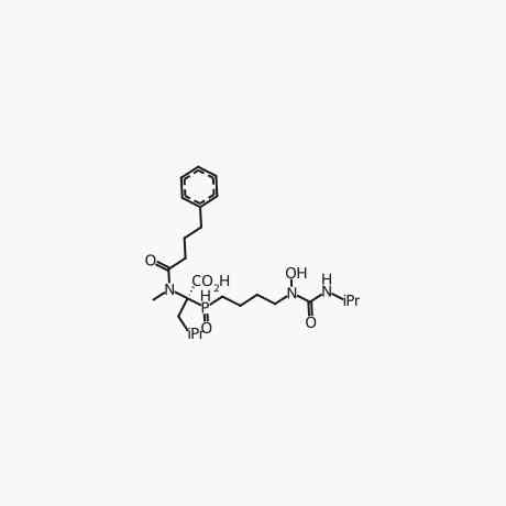 CC(C)C[C@@](C(=O)O)(N(C)C(=O)CCCc1ccccc1)[PH](=O)CCCCN(O)C(=O)NC(C)C